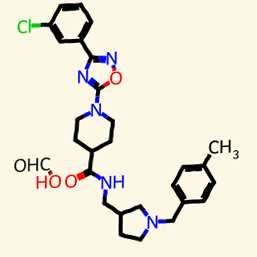 Cc1ccc(CN2CCC(CNC(=O)C3CCN(c4nc(-c5cccc(Cl)c5)no4)CC3)C2)cc1.O=CO